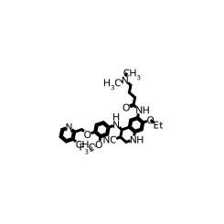 CCOc1cc2c(cc1NC(=O)CCCN(C)C)C(Nc1ccc(OCc3ncccc3C)c(OC(F)(F)F)c1)C(C#N)CN2